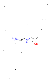 CC(O)CNC=CN